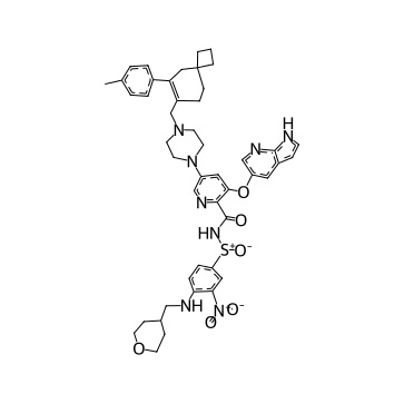 Cc1ccc(C2=C(CN3CCN(c4cnc(C(=O)N[S+]([O-])c5ccc(NCC6CCOCC6)c([N+](=O)[O-])c5)c(Oc5cnc6[nH]ccc6c5)c4)CC3)CCC3(CCC3)C2)cc1